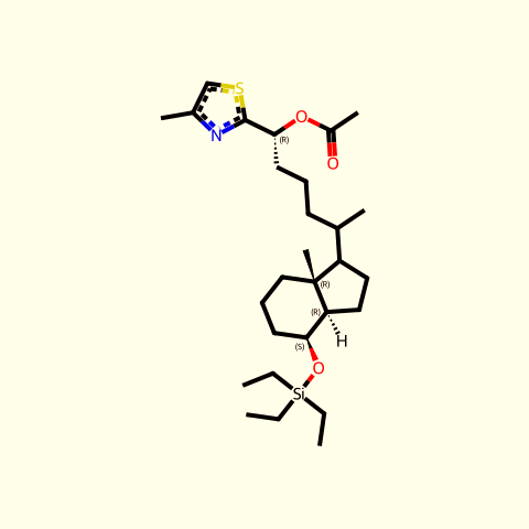 CC[Si](CC)(CC)O[C@H]1CCC[C@]2(C)C(C(C)CCC[C@@H](OC(C)=O)c3nc(C)cs3)CC[C@@H]12